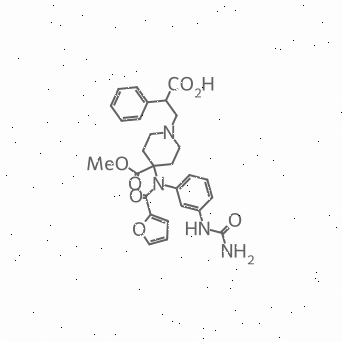 COC(=O)C1(N(C(=O)c2ccco2)c2cccc(NC(N)=O)c2)CCN(CC(C(=O)O)c2ccccc2)CC1